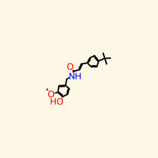 COc1cc(CNC(=O)C=Cc2ccc(C(C)(C)C)cc2)ccc1O